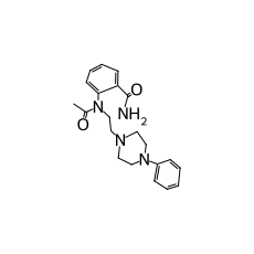 CC(=O)N(CCN1CCN(c2ccccc2)CC1)c1ccccc1C(N)=O